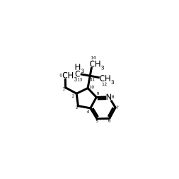 CCC1Cc2cccnc2C1C(C)(C)C